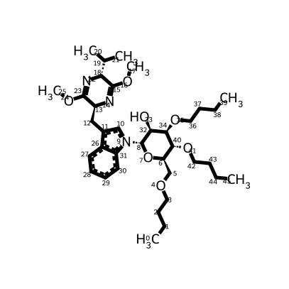 CCCCOC[C@H]1O[C@H](n2cc(C[C@@H]3N=C(OC)[C@@H](C(C)C)N=C3OC)c3ccccc32)[C@@H](O)[C@@H](OCCCC)[C@@H]1OCCCC